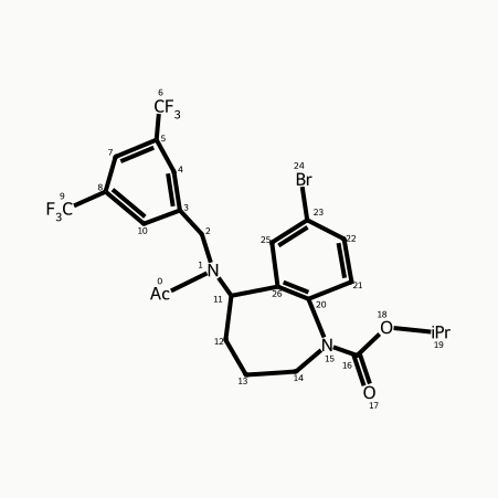 CC(=O)N(Cc1cc(C(F)(F)F)cc(C(F)(F)F)c1)C1CCCN(C(=O)OC(C)C)c2ccc(Br)cc21